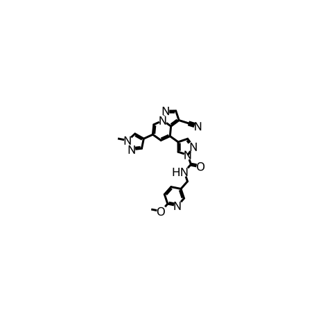 COc1ccc(CNC(=O)n2cc(-c3cc(-c4cnn(C)c4)cn4ncc(C#N)c34)cn2)cn1